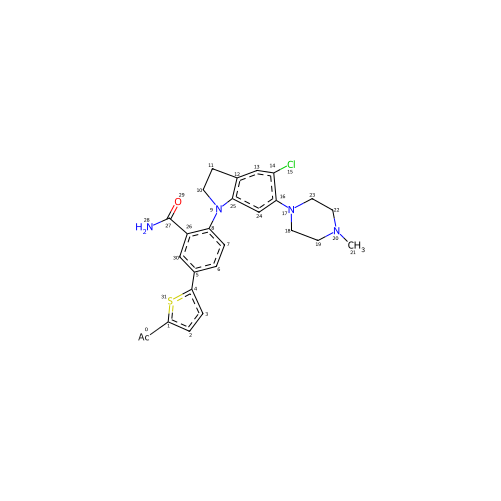 CC(=O)c1ccc(-c2ccc(N3CCc4cc(Cl)c(N5CCN(C)CC5)cc43)c(C(N)=O)c2)s1